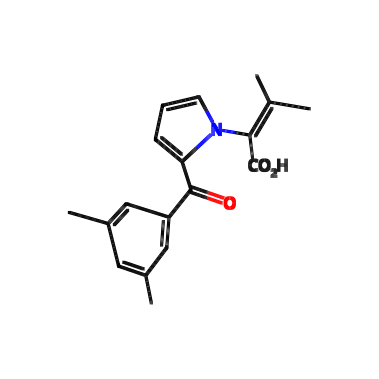 CC(C)=C(C(=O)O)n1cccc1C(=O)c1cc(C)cc(C)c1